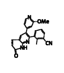 COc1cc(-c2cc3ccc(=O)[nH]c3nc2-c2cccc(C#N)c2C)ccn1